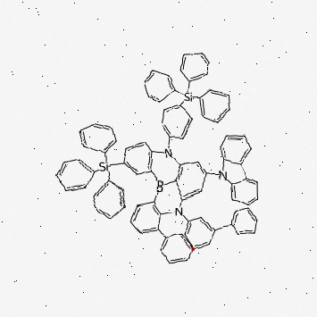 c1ccc(-c2cccc(N3c4cc(-n5c6ccccc6c6ccccc65)cc5c4B(c4cc([Si](c6ccccc6)(c6ccccc6)c6ccccc6)ccc4N5c4ccc([Si](c5ccccc5)(c5ccccc5)c5ccccc5)cc4)c4cccc(-c5ccccc5)c43)c2)cc1